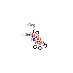 CCCCCCCCCCCCCCCC(=O)O[C@H](CCCCCCCCCCC)CC(=O)N[C@@H]1[C@@H](OCc2ccccc2)O[C@H](COCc2ccccc2)[C@@H](OCc2ccccc2)[C@@H]1OCc1ccccc1